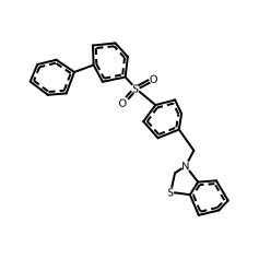 O=S(=O)(c1ccc(CN2CSc3ccccc32)cc1)c1cccc(-c2ccccc2)c1